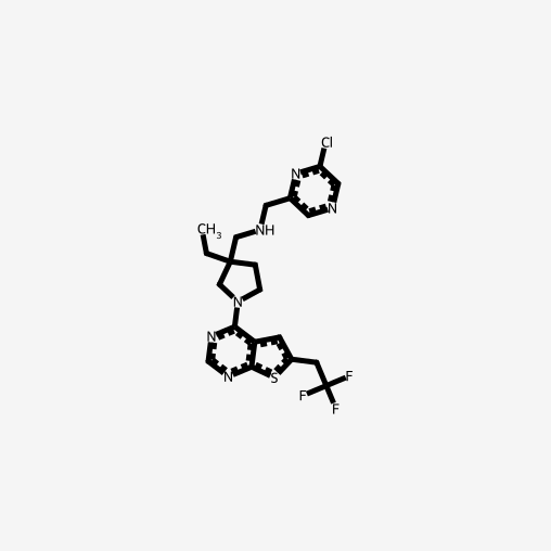 CCC1(CNCc2cncc(Cl)n2)CCN(c2ncnc3sc(CC(F)(F)F)cc23)C1